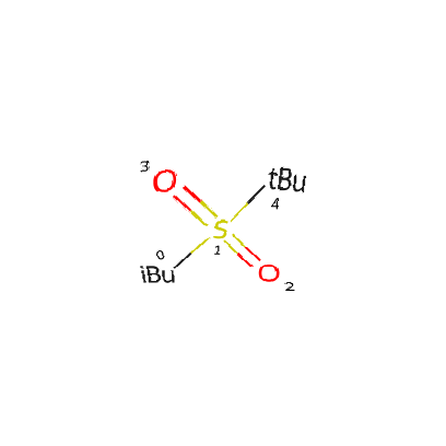 CCC(C)S(=O)(=O)C(C)(C)C